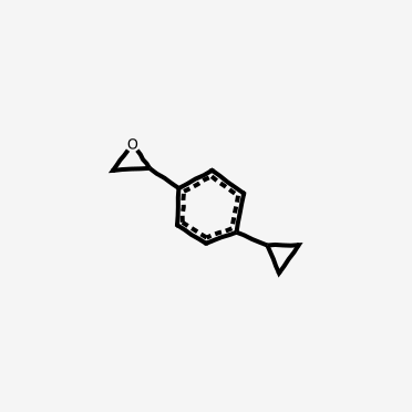 c1cc(C2CO2)ccc1C1CC1